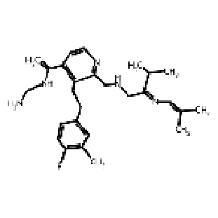 C=C(NCN)c1ccnc(CNC/C(=N/C=C(C)C)C(C)C)c1CCc1ccc(F)c(C)c1